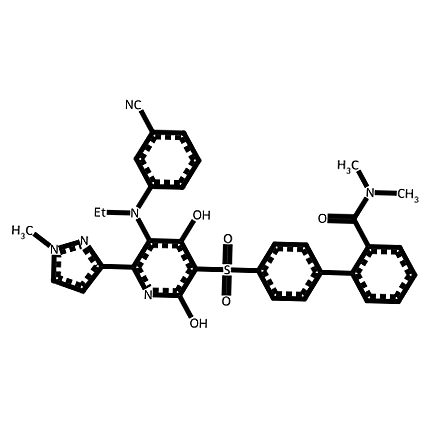 CCN(c1cccc(C#N)c1)c1c(-c2ccn(C)n2)nc(O)c(S(=O)(=O)c2ccc(-c3ccccc3C(=O)N(C)C)cc2)c1O